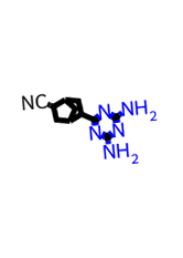 N#CC1CC2CC1CC2c1nc(N)nc(N)n1